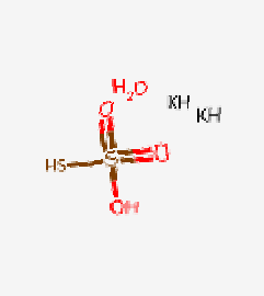 O.O=S(=O)(O)S.[KH].[KH]